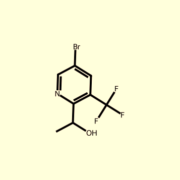 CC(O)c1ncc(Br)cc1C(F)(F)F